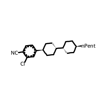 CCCCC[C@H]1CC[C@H]([C@H]2CC[C@H](c3ccc(C#N)c(Cl)c3)CC2)CC1